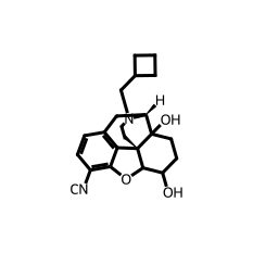 [C-]#[N+]c1ccc2c3c1OC1C(O)CCC4(O)[C@@H](C2)N(CC2CCC2)CC[C@]314